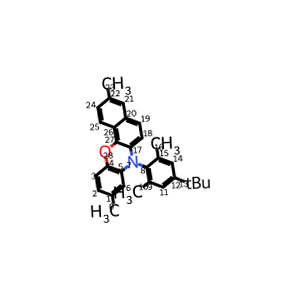 Cc1ccc2c(c1)N(c1c(C)cc(C(C)(C)C)cc1C)c1ccc3cc(C)ccc3c1O2